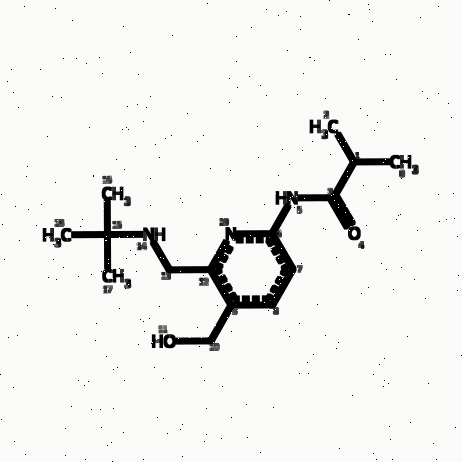 CC(C)C(=O)Nc1ccc(CO)c(CNC(C)(C)C)n1